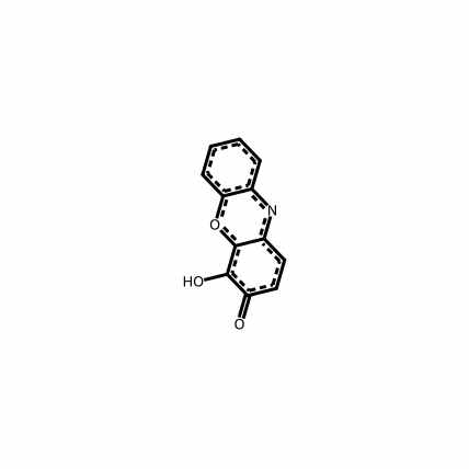 O=c1ccc2nc3ccccc3oc-2c1O